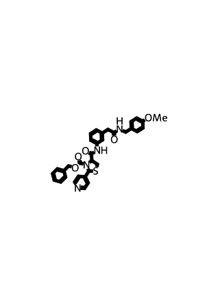 COc1ccc(CNC(=O)Cc2cccc(NC(=O)C3CSC(c4ccncc4)N3C(=O)OCc3ccccc3)c2)cc1